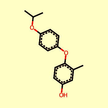 Cc1cc(O)ccc1Oc1ccc(OC(C)C)cc1